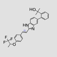 CC(Oc1ccc(/C=C/c2nc3cc(-c4ccccc4C(C)(C)O)ccc3[nH]2)cc1)C(F)(F)F